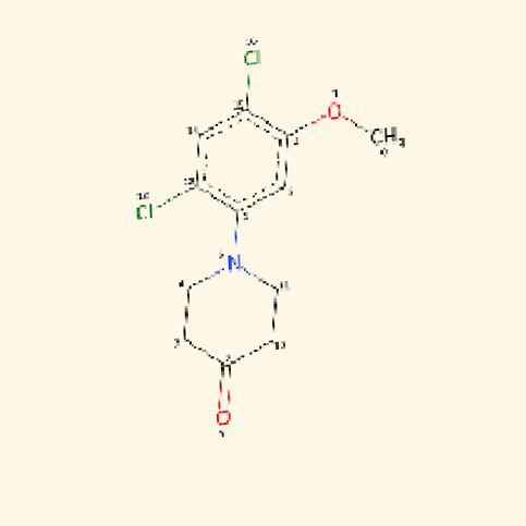 COc1cc(N2CCC(=O)CC2)c(Cl)cc1Cl